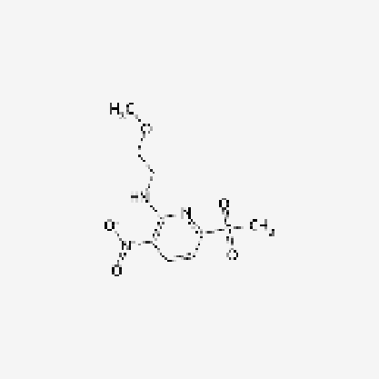 COCCNc1nc(S(C)(=O)=O)ccc1[N+](=O)[O-]